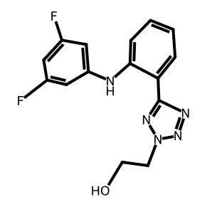 OCCn1nnc(-c2ccccc2Nc2cc(F)cc(F)c2)n1